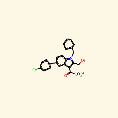 O=C(O)C(=O)c1c(CO)n(Cc2ccccc2)c2ccc(-c3ccc(Cl)cc3)cc12